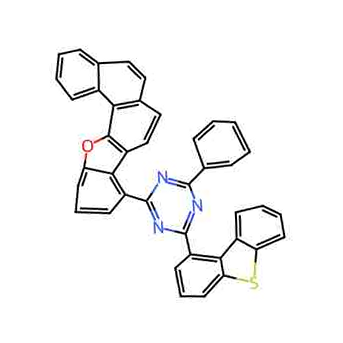 c1ccc(-c2nc(-c3cccc4oc5c(ccc6ccc7ccccc7c65)c34)nc(-c3cccc4sc5ccccc5c34)n2)cc1